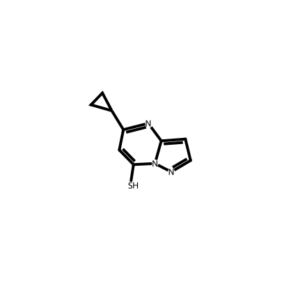 Sc1cc(C2CC2)nc2ccnn12